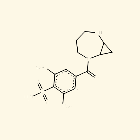 COc1cc(C(=O)N2CCCNC3CC32)cc(OC)c1S(N)(=O)=O